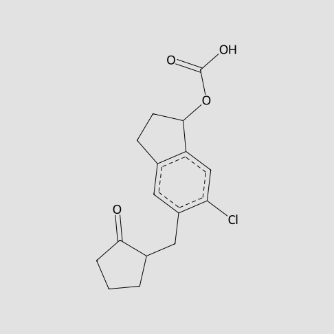 O=C(O)OC1CCc2cc(CC3CCCC3=O)c(Cl)cc21